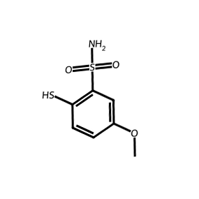 COc1ccc(S)c(S(N)(=O)=O)c1